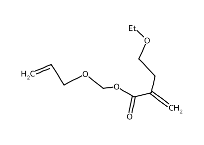 C=CCOCOC(=O)C(=C)CCOCC